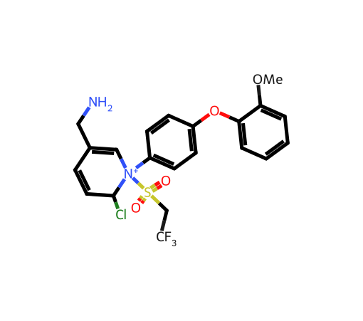 COc1ccccc1Oc1ccc([N+]2(S(=O)(=O)CC(F)(F)F)C=C(CN)C=CC2Cl)cc1